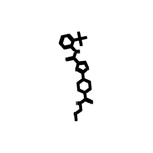 COCNC(=S)N1CCC(c2nc(C(=O)Nc3ccccc3C(C)(C)C)cs2)CC1